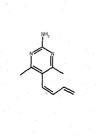 C=C/C=C\c1c(C)nc(N)nc1C